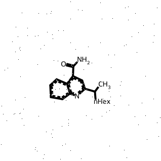 CCCCCCC(C)c1cc(C(N)=O)c2ccccc2n1